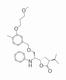 COCCCOc1cc(COC[C@H](Nc2ccccc2)[C@@H]2C[C@@H](C(C)C)C(=O)O2)ccc1C